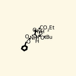 CCOC(=O)CNC(=O)[C@H](CNC(=O)OCc1ccccc1)NC(=O)OC(C)(C)C